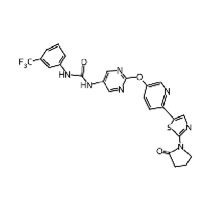 O=C(Nc1cnc(Oc2ccc(-c3cnc(N4CCCC4=O)s3)nc2)nc1)Nc1cccc(C(F)(F)F)c1